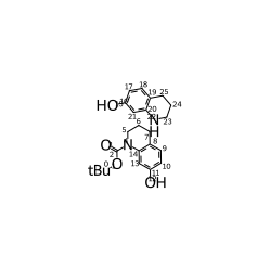 CC(C)(C)OC(=O)N1CCCc2ccc(O)cc21.Oc1ccc2c(c1)NCCC2